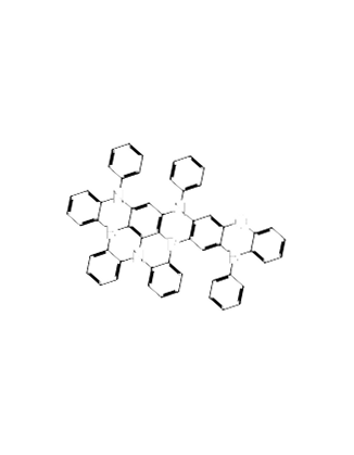 c1ccc(B2c3ccccc3Oc3cc4c(cc32)B2c3ccccc3N3c5ccccc5B5c6ccccc6N(c6ccccc6)c6cc(c2c3c65)N4c2ccccc2)cc1